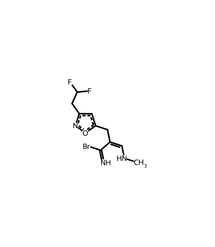 CN/C=C(/Cc1cc(CC(F)F)no1)C(=N)Br